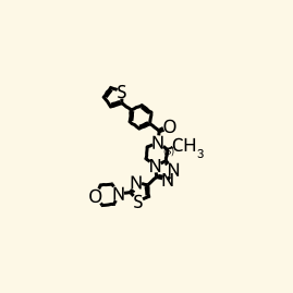 C[C@H]1c2nnc(-c3csc(N4CCOCC4)n3)n2CCN1C(=O)c1ccc(-c2cccs2)cc1